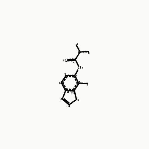 Cc1c(OC(=O)C(C)C)ccc2c1CC=C2